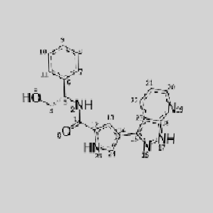 O=C(N[C@H](CO)c1ccccc1)c1cc(-c2n[nH]c3ncccc23)c[nH]1